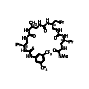 CNC(=O)NC[C@@H](NC(=O)NC[C@H](CC(C)C)NC(=O)NC[C@H](C)NC(=O)NC[C@@H](NC(=S)Nc1cc(C(F)(F)F)cc(C(F)(F)F)c1)C(C)C)C(C)C